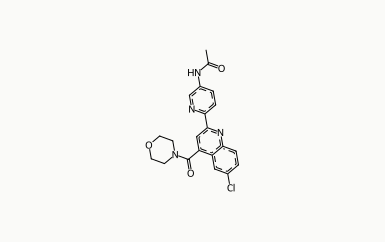 CC(=O)Nc1ccc(-c2cc(C(=O)N3CCOCC3)c3cc(Cl)ccc3n2)nc1